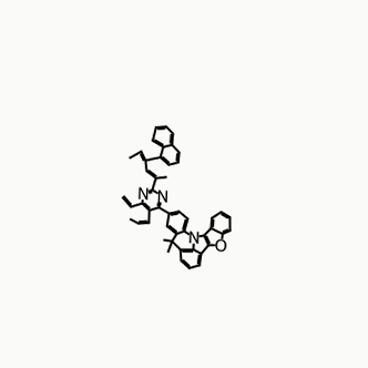 C=Cc1nc(/C(C)=C/C(=C\C)c2cccc3ccccc23)nc(-c2ccc3c(c2)C(C)(C)c2cccc4c5oc6ccccc6c5n-3c24)c1/C=C\C